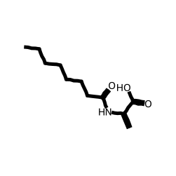 C=C(NC(=O)CCCCCCC)C(=O)O